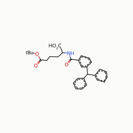 CC(C)(C)OC(=O)CCCC(NC(=O)c1cccc(C(c2ccccc2)c2ccccc2)c1)C(=O)O